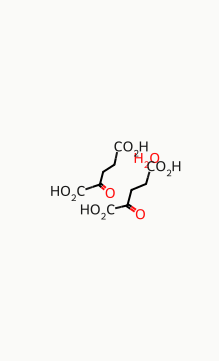 O.O=C(O)CCC(=O)C(=O)O.O=C(O)CCC(=O)C(=O)O